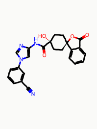 N#Cc1cccc(-n2cnc(NC(=O)[C@]3(O)CC[C@@]4(CC3)OC(=O)c3ccccc34)c2)c1